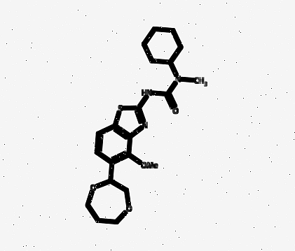 COc1c(C2COCCCO2)ccc2sc(NC(=O)N(C)C3CCCCC3)nc12